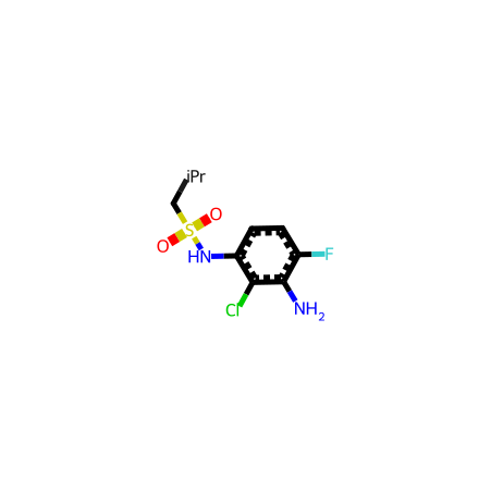 CC(C)CS(=O)(=O)Nc1ccc(F)c(N)c1Cl